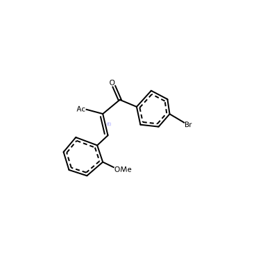 COc1ccccc1/C=C(\C(C)=O)C(=O)c1ccc(Br)cc1